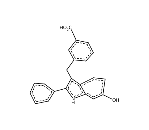 O=C(O)c1cccc(Cc2c(-c3ccccc3)[nH]c3cc(O)ccc23)c1